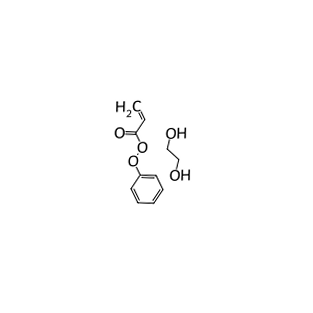 C=CC(=O)OOc1ccccc1.OCCO